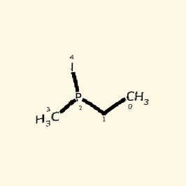 CCP(C)I